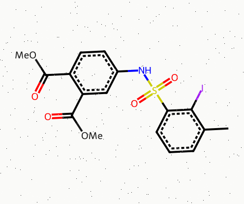 COC(=O)c1ccc(NS(=O)(=O)c2cccc(C)c2I)cc1C(=O)OC